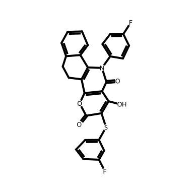 O=c1oc2c3c(n(-c4ccc(F)cc4)c(=O)c2c(O)c1Sc1cccc(F)c1)-c1ccccc1CC3